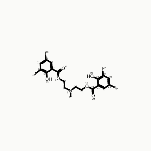 CN(CCOC(=O)c1cc(I)cc(I)c1O)CCOC(=O)c1cc(I)cc(I)c1O